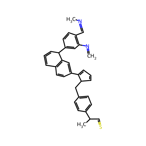 C=Nc1cc(C2C=C=Cc3ccc(C4=CC=CC4Cc4ccc(C(C)C=S)cc4)cc32)ccc1/C=N\C